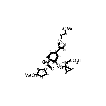 COCCn1cc(-c2ccc(S(=O)(=O)[C@@H]3CC[C@@H](OC)C3)c(C(F)(F)F)c2)cn1.N#CC1(NC(=O)O)CC1